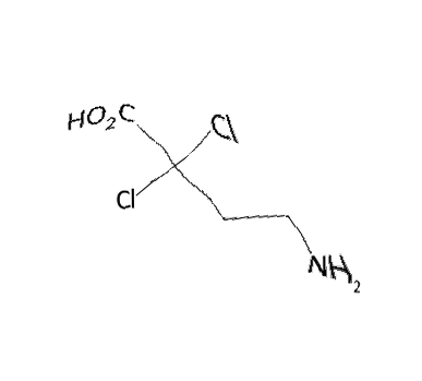 NCCC(Cl)(Cl)C(=O)O